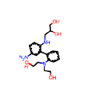 Nc1ccc(NCC(O)CO)c(-c2ccccc2N(CCO)CCO)c1